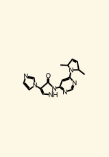 CC1C=CC(C)N1c1cc(-n2[nH]cc(-n3ccnc3)c2=O)ncn1